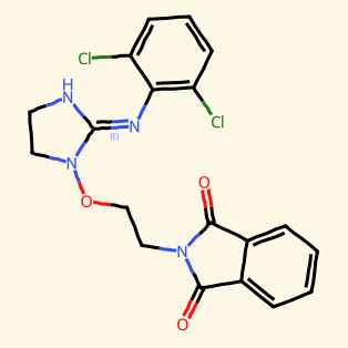 O=C1c2ccccc2C(=O)N1CCON1CCN/C1=N\c1c(Cl)cccc1Cl